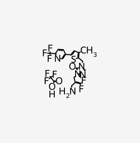 Cc1cc(-c2ccc(C(F)(F)F)nc2)sc1Cn1cnn(CC(CN)=C(F)F)c1=O.O=C(O)C(F)(F)F